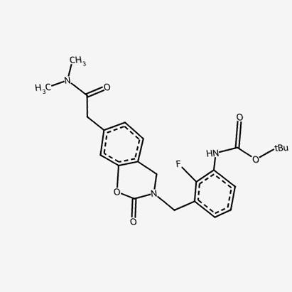 CN(C)C(=O)Cc1ccc2c(c1)OC(=O)N(Cc1cccc(NC(=O)OC(C)(C)C)c1F)C2